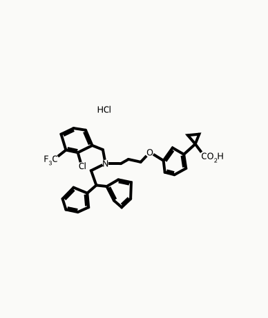 Cl.O=C(O)C1(c2cccc(OCCCN(Cc3cccc(C(F)(F)F)c3Cl)CC(c3ccccc3)c3ccccc3)c2)CC1